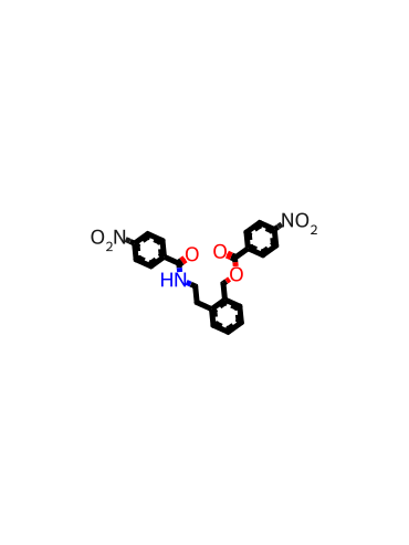 O=C(NCCc1ccccc1COC(=O)c1ccc([N+](=O)[O-])cc1)c1ccc([N+](=O)[O-])cc1